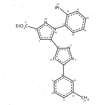 CCOC(=O)c1cc(-c2nnc(-c3cccc(C)c3)o2)n(-c2ccccc2C(C)C)n1